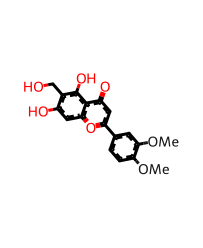 COc1ccc(-c2cc(=O)c3c(O)c(CO)c(O)cc3o2)cc1OC